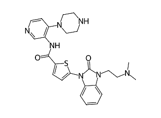 CN(C)CCn1c(=O)n(-c2ccc(C(=O)Nc3cnccc3N3CCNCC3)s2)c2ccccc21